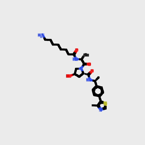 Cc1ncsc1-c1ccc([C@H](C)NC(=O)[C@@H]2C[C@@H](O)CN2C(=O)C(NC(=O)CCCCCCCN)C(C)(C)C)cc1